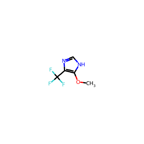 COc1[nH]cnc1C(F)(F)F